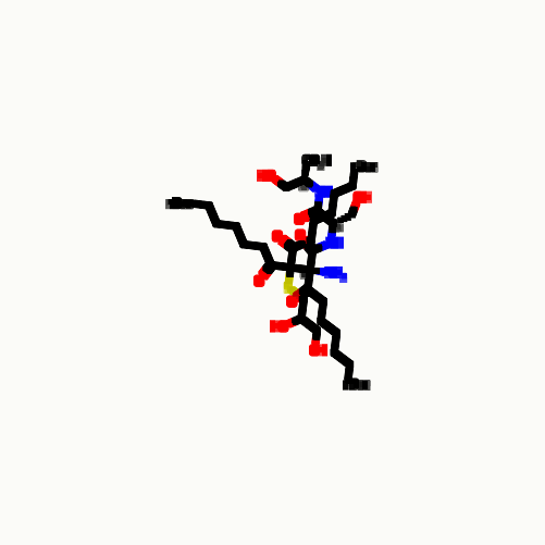 CCCCCCCCCCCCCCCC(=O)C(SCC(O)CO)(C(=O)CCCCCCCCCCCCCCC)[C@@](N)(C(=O)CCCCCCCCCCCCCCC)C(=O)N[C@@H](CO)C(=O)N[C@@H](CO)C(=O)O